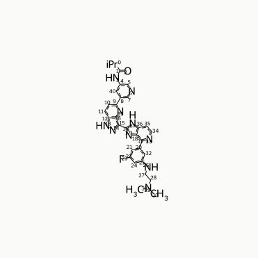 CC(C)C(=O)Nc1cncc(-c2ccc3[nH]nc(-c4nc5c(-c6cc(F)cc(NCCN(C)C)c6)nccc5[nH]4)c3n2)c1